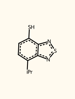 CC(C)c1ccc(S)c2nsnc12